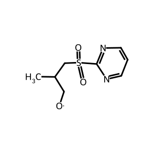 CC(C[O])CS(=O)(=O)c1ncccn1